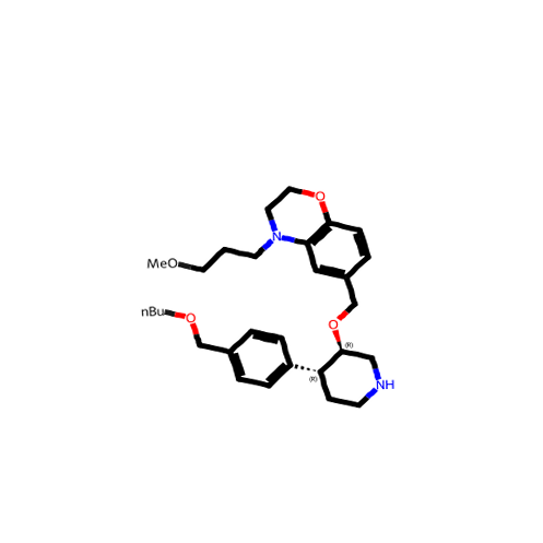 CCCCOCc1ccc([C@H]2CCNC[C@@H]2OCc2ccc3c(c2)N(CCCOC)CCO3)cc1